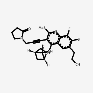 CSc1nc2c(F)c(Br)c(CCC#N)cc2c(N[C@H]2[C@H]3CN[C@@H]2C3)c1C#CCN1CCCC1=O